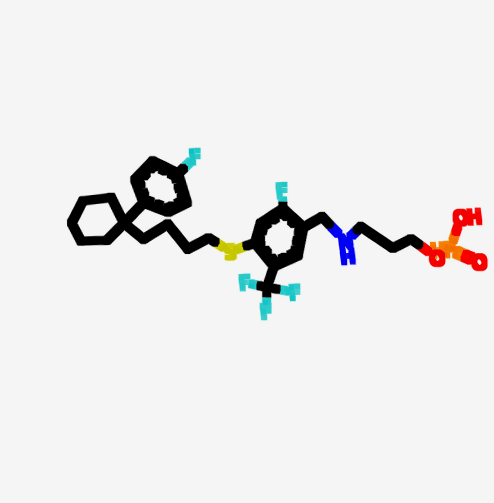 O=[PH](O)OCCCNCc1cc(C(F)(F)F)c(SCCCCC2(c3ccc(F)cc3)CCCCC2)cc1F